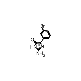 NC1=N[C@H](c2cccc(Br)c2)C(=O)N1